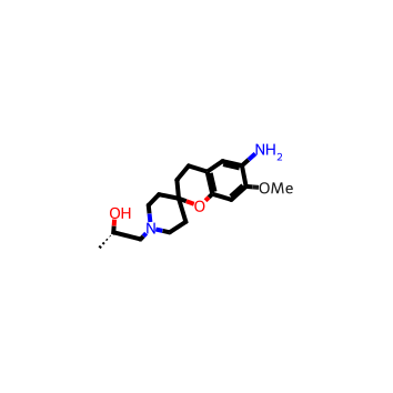 COc1cc2c(cc1N)CCC1(CCN(C[C@H](C)O)CC1)O2